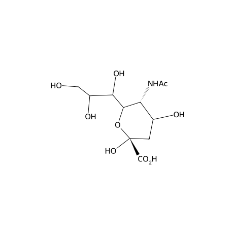 CC(=O)N[C@@H]1C(O)C[C@@](O)(C(=O)O)OC1C(O)C(O)CO